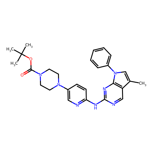 Cc1cn(-c2ccccc2)c2nc(Nc3ccc(N4CCN(C(=O)OC(C)(C)C)CC4)cn3)ncc12